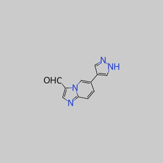 O=Cc1cnc2ccc(-c3cn[nH]c3)cn12